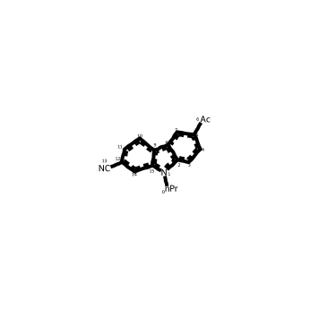 CCCn1c2ccc(C(C)=O)cc2c2ccc(C#N)cc21